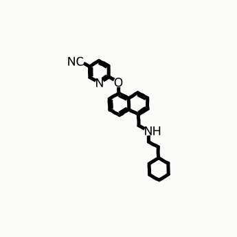 N#Cc1ccc(Oc2cccc3c(CNCCC4CCCCC4)cccc23)nc1